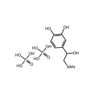 CNCC(O)c1ccc(O)c(O)c1.O=P(O)(O)O.O=P(O)(O)O